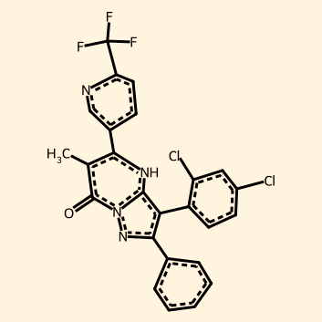 Cc1c(-c2ccc(C(F)(F)F)nc2)[nH]c2c(-c3ccc(Cl)cc3Cl)c(-c3ccccc3)nn2c1=O